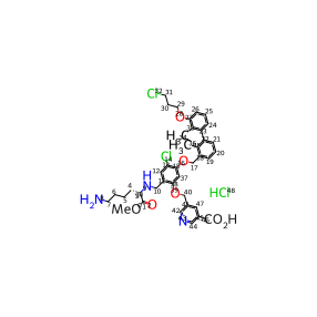 COC(=O)[C@H](CCCCN)NCc1cc(Cl)c(OCc2cccc(-c3cccc(OCCCCl)c3C)c2C)cc1OCc1cncc(C(=O)O)c1.Cl